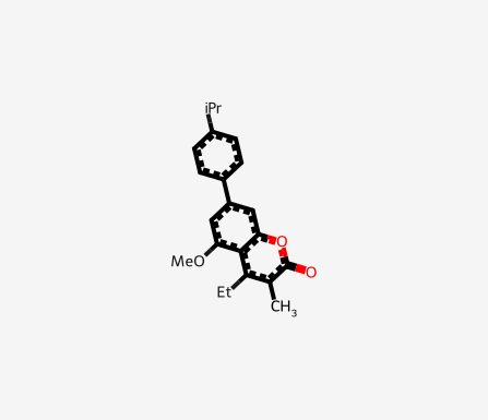 CCc1c(C)c(=O)oc2cc(-c3ccc(C(C)C)cc3)cc(OC)c12